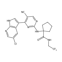 N#Cc1cnc(NC2(C(=O)NCC(F)(F)F)CCCC2)nc1-c1c[nH]c2ncc(Cl)cc12